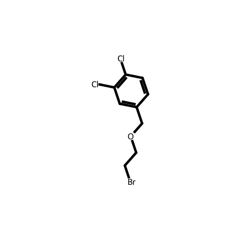 Clc1ccc(COCCBr)cc1Cl